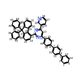 c1ccc(-c2ccc(-c3ccc(-c4cc(-c5cccnc5)nc(-c5cccc6c5-c5ccccc5C6(c5ccccc5)c5ccccc5)n4)cc3)cc2)cc1